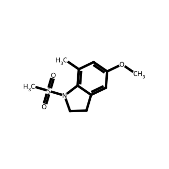 COc1cc(C)c2c(c1)CCN2S(C)(=O)=O